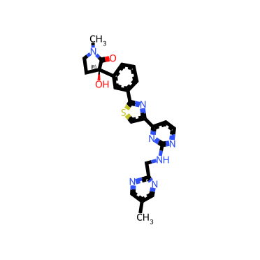 Cc1cnc(CNc2nccc(-c3csc(-c4cccc([C@]5(O)CCN(C)C5=O)c4)n3)n2)nc1